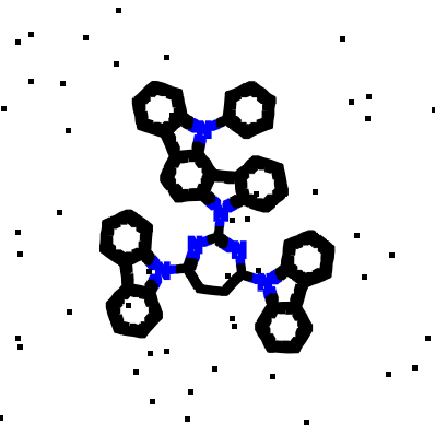 c1ccc(-n2c3ccccc3c3ccc4c(c5ccccc5n4C4=NC(n5c6ccccc6c6ccccc65)CCC(n5c6ccccc6c6ccccc65)=N4)c32)cc1